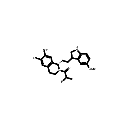 CCCc1cc2c(cc1CC)CCN(C(=O)C(F)F)[C@H]2CCC1CNc2ccc(OC)cc21